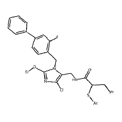 CCOc1nc(Cl)c(CNC(=O)C(CC(C)C)SC(C)=O)n1Cc1ccc(-c2ccccc2)cc1F